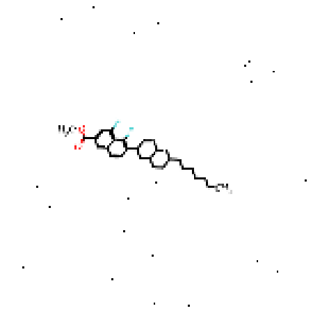 CCCCCCCC1CCC2CC(c3ccc4cc(C(=O)OC)cc(F)c4c3F)CCC2C1